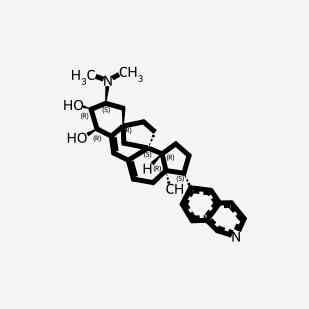 CN(C)[C@H]1C[C@@]23CC[C@@]4(C2)C(=CC[C@]2(C)[C@@H](c5ccc6cnccc6c5)CC[C@@H]42)C=C3[C@@H](O)[C@@H]1O